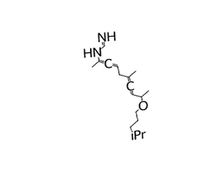 CC(=C=CC(C)OCCCC(C)C)CC=C=C(C)NC=N